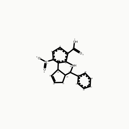 O=C(O)c1ccc([N+](=O)[O-])c2c1NC(c1ccccc1)C1CC=CC21